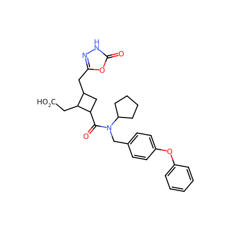 O=C(O)CC1C(Cc2n[nH]c(=O)o2)CC1C(=O)N(Cc1ccc(Oc2ccccc2)cc1)C1CCCC1